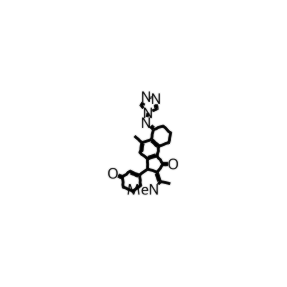 CNC(C)=C1C(=O)c2c(cc(C)c3c2CCCC3=Nn2cnnc2)C1C1=CC(=O)CCC1